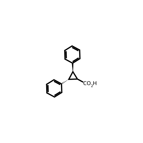 O=C(O)C1[C@H](c2ccccc2)[C@H]1c1ccccc1